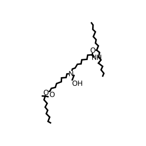 CCCCCCCCC(CCCCCCCC)OC(=N)CCCCCCCN(CCO)CCCCCCCC(=O)OC(C)(C)CCCCCCCC